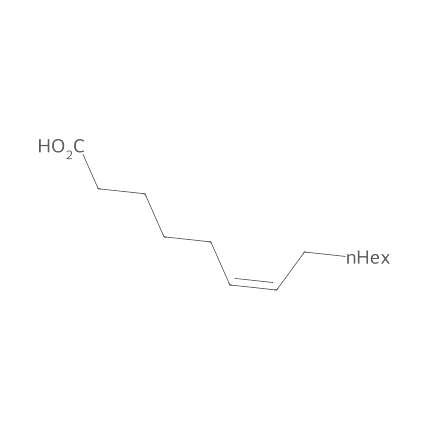 CCCCCCC/C=C\CCCCC(=O)O